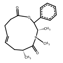 C[C@@H]1C/C=C/CCC(=O)OC(c2ccccc2)[C@H](C)N(C)C1=O